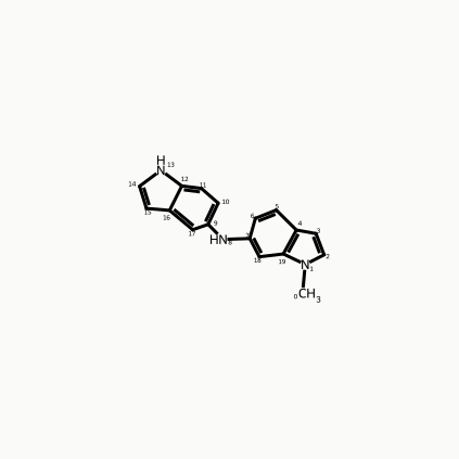 Cn1ccc2ccc(Nc3ccc4[nH]ccc4c3)cc21